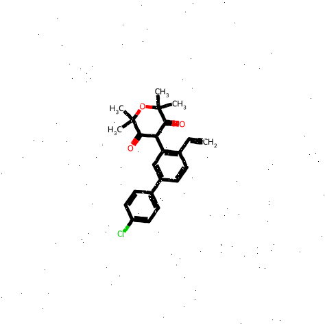 C=Cc1ccc(-c2ccc(Cl)cc2)cc1C1C(=O)C(C)(C)OC(C)(C)C1=O